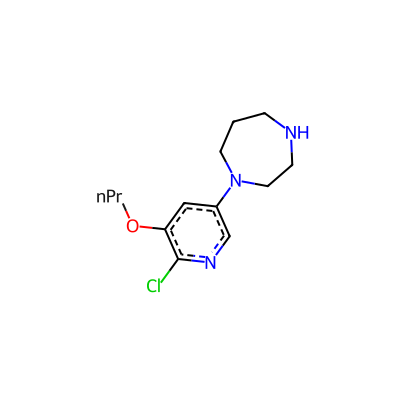 CCCOc1cc(N2CCCNCC2)cnc1Cl